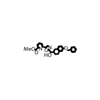 COC(=O)c1cccc(-c2cnc(C(O)C3CCc4cc(OCc5ccccc5)ccc4C3)o2)n1